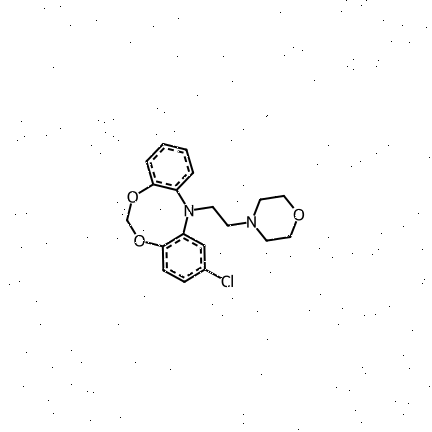 Clc1ccc2c(c1)N(CCN1CCOCC1)c1ccccc1OCO2